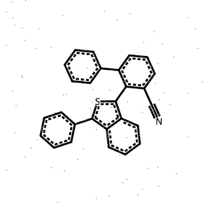 N#Cc1cccc(-c2ccccc2)c1-c1sc(-c2ccccc2)c2ccccc12